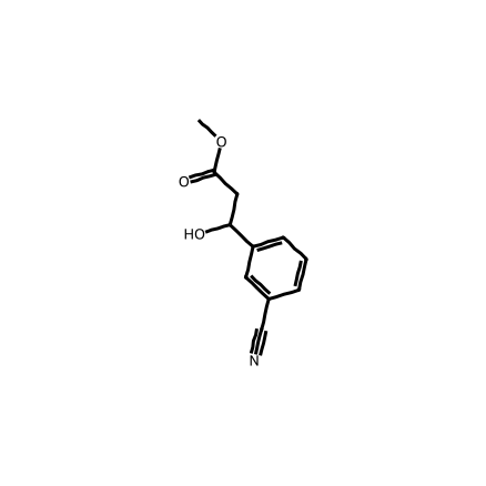 COC(=O)CC(O)c1cccc(C#N)c1